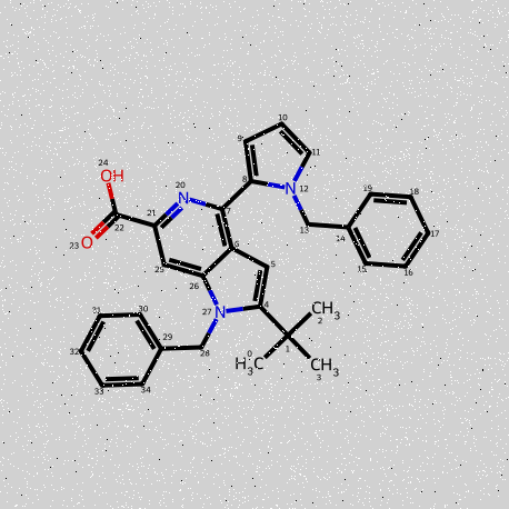 CC(C)(C)c1cc2c(-c3cccn3Cc3ccccc3)nc(C(=O)O)cc2n1Cc1ccccc1